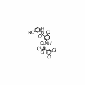 N#Cc1cccc(NC(=O)c2cc(NC(=O)[C@@H]3[C@@H](c4cc(Cl)cc(Cl)c4)C3(Cl)Cl)ccc2Cl)c1